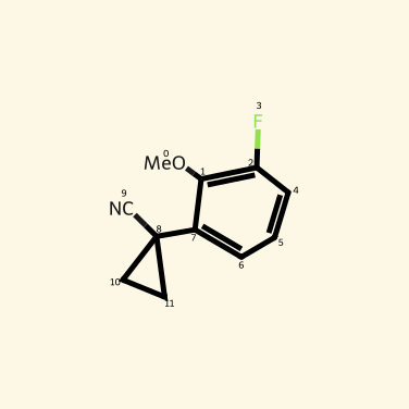 COc1c(F)cccc1C1(C#N)CC1